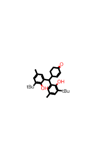 Cc1cc(C(c2cc(C)cc(C(C)(C)C)c2O)C2C=CC(=O)CC2)c(O)c(C(C)(C)C)c1